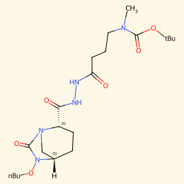 CCCCON1C(=O)N2C[C@@H]1CC[C@H]2C(=O)NNC(=O)CCCN(C)C(=O)OC(C)(C)C